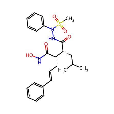 CC(C)C[C@@H](C(=O)NN(c1ccccc1)S(C)(=O)=O)[C@H](CC=Cc1ccccc1)C(=O)NO